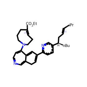 CCCC[C@H](C/C=C/C(C)C)c1ccc(C2=CCC3=CN=CC=C(N4CC/C=C(\C(=O)OCC)CCC4)C3=C2)nc1